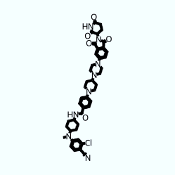 CN(c1ccc(C#N)c(Cl)c1)C1CCC(NC(=O)c2ccc(N3CCC(N4CCN(c5ccc6c(c5)C(=O)N(C5CCC(=O)NC5=O)C6=O)CC4)CC3)cc2)CC1